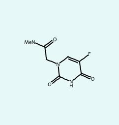 CNC(=O)Cn1cc(F)c(=O)[nH]c1=O